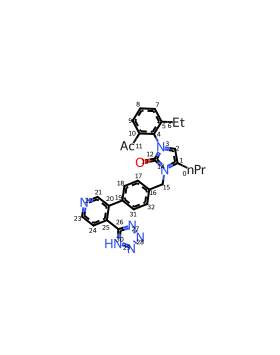 CCCc1cn(-c2c(CC)cccc2C(C)=O)c(=O)n1Cc1ccc(-c2cnccc2-c2nnn[nH]2)cc1